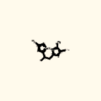 CC(C)c1sc(CC(C)c2cc(F)cs2)cc1F